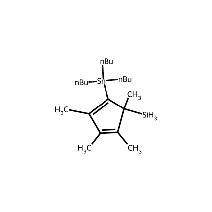 CCC[CH2][Sn]([CH2]CCC)([CH2]CCC)[C]1=C(C)C(C)=C(C)C1(C)[SiH3]